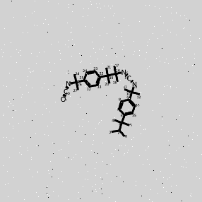 CC(C)C(C)(C)c1ccc(C(C)(C)N=C=NC(C)(C)C(C)(C)c2ccc(C(C)(C)N=C=O)cc2)cc1